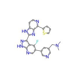 CN(C)Cc1cncc(-c2cnc3[nH]nc(-c4nc5c(-c6cccs6)nccc5[nH]4)c3c2F)c1